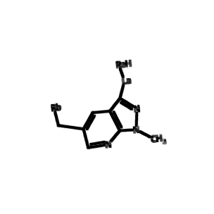 Cn1n[c]([La][RaH])c2cc([CH2][Rb])cnc21